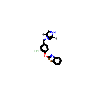 Cl.c1ccc2sc(Oc3ccc(CN4C[C@@H]5C[C@H]4CN5)cc3)nc2c1